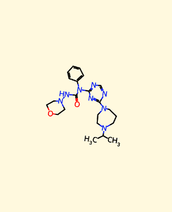 CC(C)N1CCCN(c2ncnc(N(C(=O)NN3CCOCC3)c3ccccc3)n2)CC1